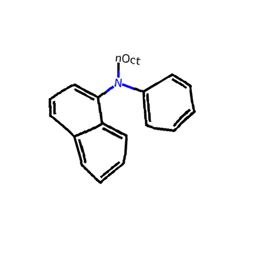 CCCCCCCCN(c1ccccc1)c1cccc2ccccc12